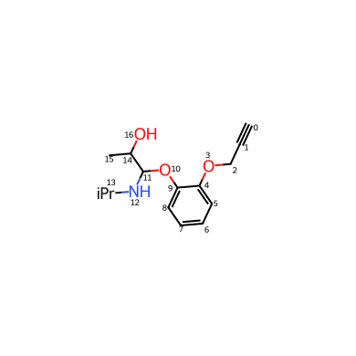 C#CCOc1ccccc1OC(NC(C)C)C(C)O